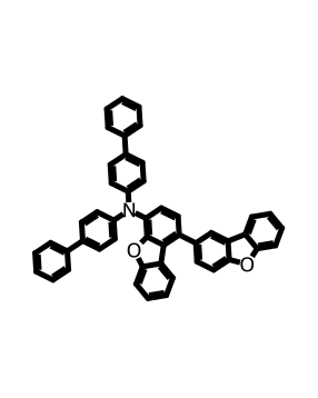 c1ccc(-c2ccc(N(c3ccc(-c4ccccc4)cc3)c3ccc(-c4ccc5oc6ccccc6c5c4)c4c3oc3ccccc34)cc2)cc1